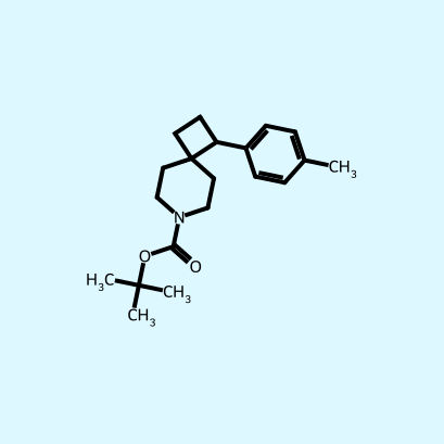 Cc1ccc(C2CCC23CCN(C(=O)OC(C)(C)C)CC3)cc1